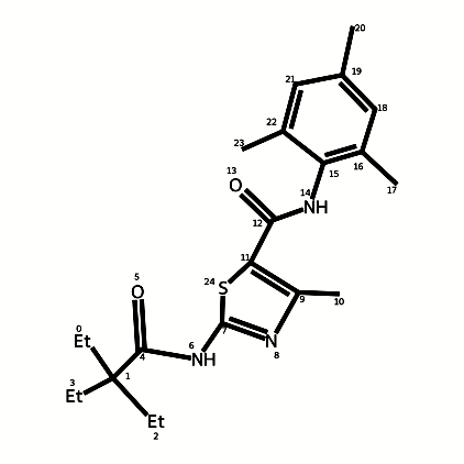 CCC(CC)(CC)C(=O)Nc1nc(C)c(C(=O)Nc2c(C)cc(C)cc2C)s1